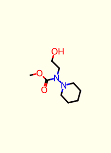 COC(=O)N(CCO)N1CCCCC1